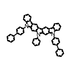 c1ccc(-c2ccc(-n3c4ccccc4c4cc5c6cc7c8ccccc8n(-c8ccc(-c9ccccc9)cc8)c7cc6n(-c6ccccc6)c5cc43)cc2)cc1